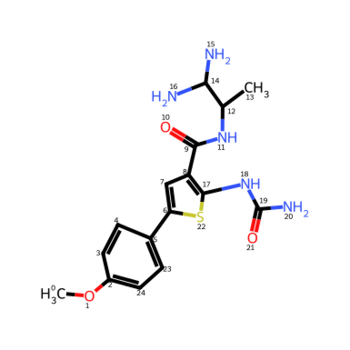 COc1ccc(-c2cc(C(=O)NC(C)C(N)N)c(NC(N)=O)s2)cc1